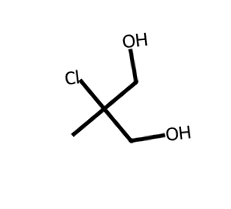 CC(Cl)(CO)CO